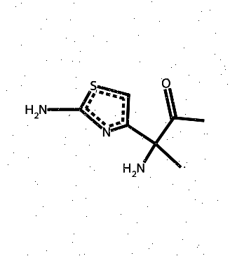 [CH2]C(N)(C(C)=O)c1csc(N)n1